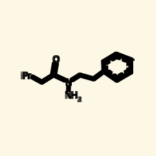 CC(C)CC(=O)N(N)CCc1cc[c]cc1